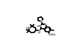 COC1CC2=C(C=C1I)N=C(N1CCCC1)NC2NC1CCC(C)(C)NC(C)(C)C1